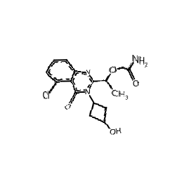 CC(OC(N)=O)c1nc2cccc(Cl)c2c(=O)n1C1CC(O)C1